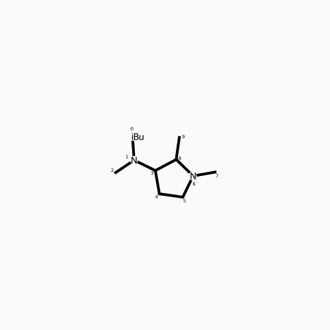 CCC(C)N(C)C1CCN(C)C1C